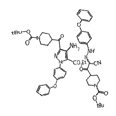 CC(C)(C)OC(=O)N1CCC(C(=O)/C(C#N)=N/Nc2ccc(Oc3ccccc3)cc2)CC1.CCOC(=O)c1c(N)c(C(=O)C2CCN(C(=O)OC(C)(C)C)CC2)nn1-c1ccc(Oc2ccccc2)cc1